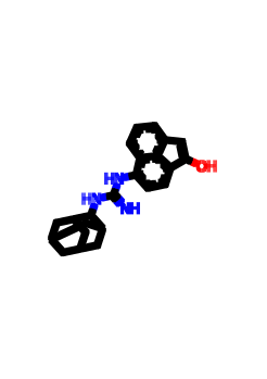 N=C(Nc1ccc2c3c(cccc13)C=C2O)NC1C2CC3CC(C2)CC1C3